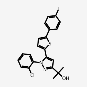 CC(C)(O)c1cc(-c2ccc(-c3ccc(I)cc3)s2)n(-c2ccccc2Cl)n1